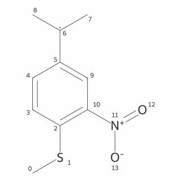 CSc1ccc([C](C)C)cc1[N+](=O)[O-]